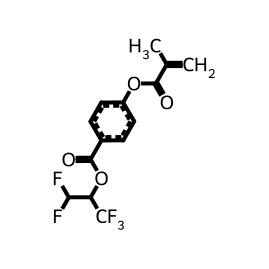 C=C(C)C(=O)Oc1ccc(C(=O)OC(C(F)F)C(F)(F)F)cc1